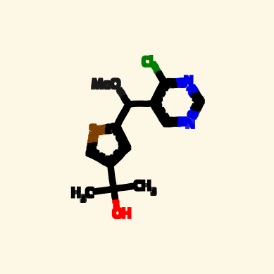 COC(c1cc(C(C)(C)O)cs1)c1cncnc1Cl